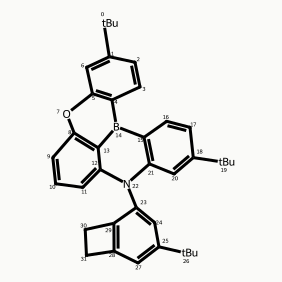 CC(C)(C)c1ccc2c(c1)Oc1cccc3c1B2c1ccc(C(C)(C)C)cc1N3c1cc(C(C)(C)C)cc2c1CC2